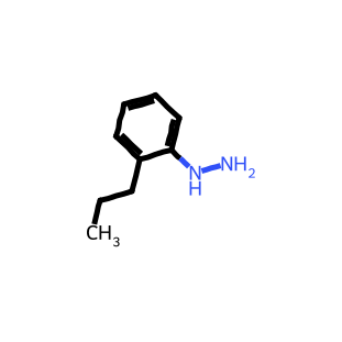 CCCc1ccccc1NN